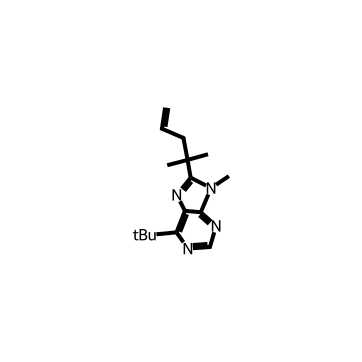 C=CCC(C)(C)c1nc2c(C(C)(C)C)ncnc2n1C